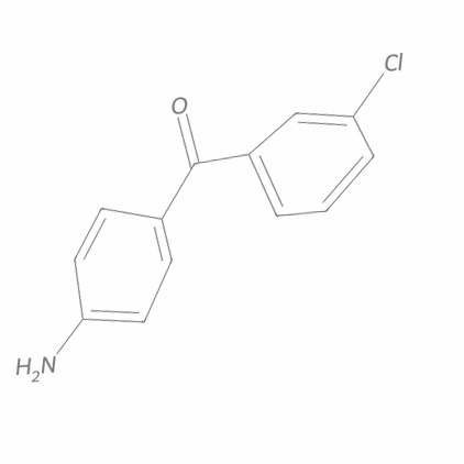 Nc1ccc(C(=O)c2cccc(Cl)c2)cc1